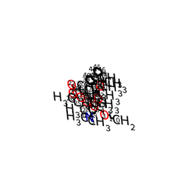 C=CCOCC1CC(N(C)C)C(C)[C@H](O[C@H]([C@@H](C)C2=C(C)C(=O)OC(C)(C)O2)[C@@](C)(C[C@@H](C)CO[Si](c2ccccc2)(c2ccccc2)C(C)(C)C)OC)O1